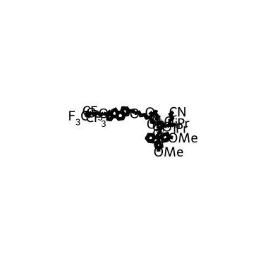 COc1ccc(C(OC[C@H]2O[C@@H](N3CC(C)C(=O)C(CCCCOCc4ccc5c(c4)CCC4C5CCC5(C)C(OCCCOC(C(F)(F)F)(C(F)(F)F)C(F)(F)F)CCC45)C3=O)CC2OC(OCCC#N)C(C(C)C)C(C)C)(c2ccccc2)c2ccc(OC)cc2)cc1